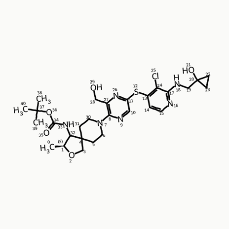 C[C@@H]1OCC2(CCN(c3ncc(Sc4ccnc(NCC5(O)CC5)c4Cl)nc3CO)CC2)C1NC(=O)OC(C)(C)C